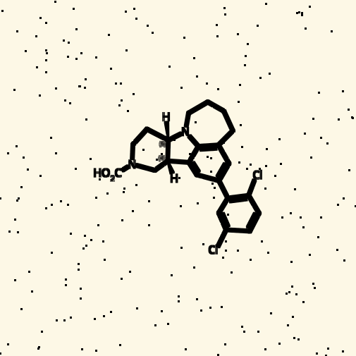 O=C(O)N1CC[C@H]2[C@@H](C1)c1cc(-c3cc(Cl)ccc3Cl)cc3c1N2CCCC3